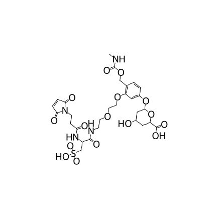 CNC(=O)OCc1ccc(OC2CC(O)CC(C(=O)O)O2)cc1OCCOCCNC(=O)C(CS(=O)(=O)O)NC(=O)CCN1C(=O)C=CC1=O